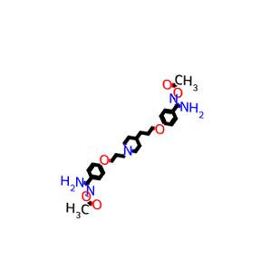 CC(=O)ON=C(N)c1ccc(OCCCC2CCN(CCCOc3ccc(C(N)=NOC(C)=O)cc3)CC2)cc1